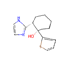 O[C@@]1(c2cccs2)CCCC[C@H]1c1ncc[nH]1